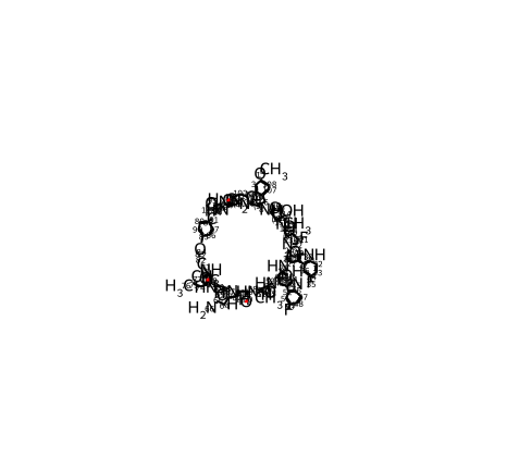 COc1ccc(C[C@@H]2NC(=O)[C@H]([C@@H](C)O)NC(=O)[C@@H]3C[C@H](F)CN3C(=O)[C@H](Cc3c[nH]c4ccc(F)cc34)NC(=O)[C@H](Cc3c[nH]c4ccc(F)cc34)NC(=O)[C@@H](C)NC(=O)[C@H](CCCCN)NC(=O)[C@@H](NC(=O)CC(C)C)CC(=O)NCCOc3ccc(cc3)C[C@@H](C(N)=O)NC(=O)[C@]3(C)CCCN3C2=O)cc1